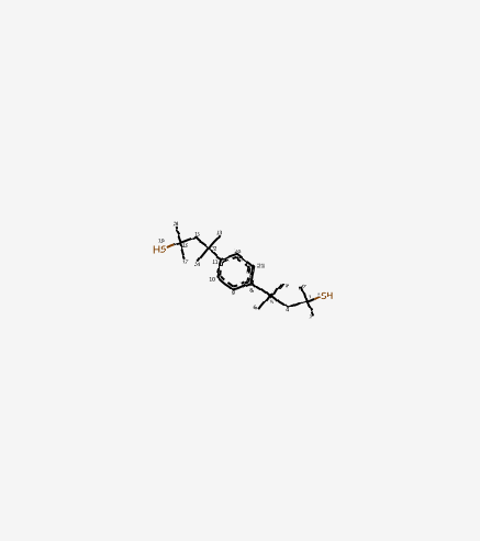 CC(C)(S)CC(C)(C)c1ccc(C(C)(C)CC(C)(C)S)cc1